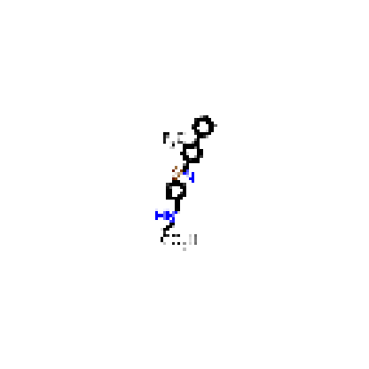 O=C(O)CCNCc1ccc2sc(-c3ccc(-c4ccccc4)c(C(F)(F)F)c3)nc2c1